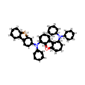 c1ccc(N(c2ccc3c(c2)sc2ccccc23)c2cccc3c2oc2cccc(N(c4ccccc4)c4ccccc4)c23)cc1